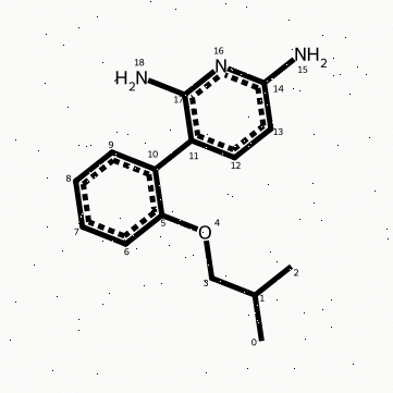 CC(C)COc1ccccc1-c1ccc(N)nc1N